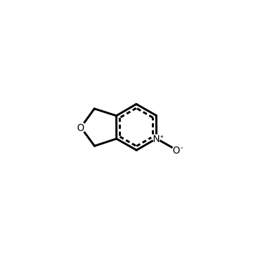 [O-][n+]1ccc2c(c1)COC2